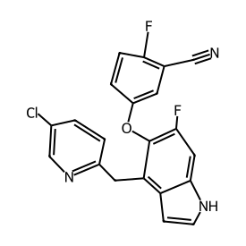 N#Cc1cc(Oc2c(F)cc3[nH]ccc3c2Cc2ccc(Cl)cn2)ccc1F